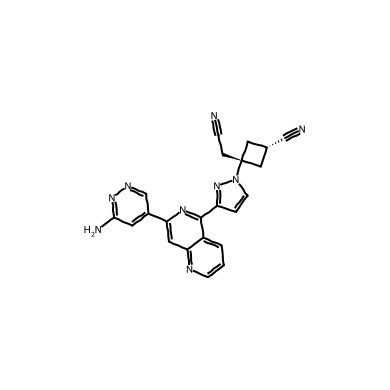 N#CC[C@]1(n2ccc(-c3nc(-c4cnnc(N)c4)cc4ncccc34)n2)C[C@@H](C#N)C1